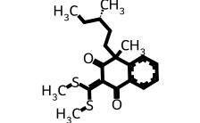 CC[C@H](C)CCC1(C)C(=O)C(=C(SC)SC)C(=O)c2ccccc21